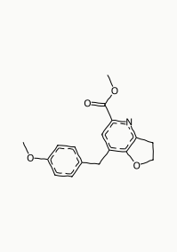 COC(=O)c1cc(Cc2ccc(OC)cc2)c2c(n1)CCO2